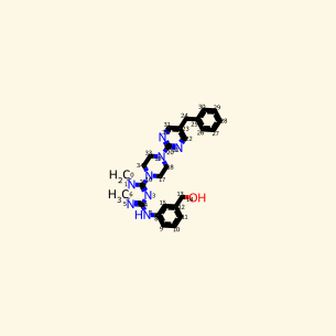 C=N/C(=N\C(=N/C)Nc1cccc(CO)c1)N1CCN(c2ncc(Cc3ccccc3)cn2)CC1